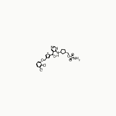 NS(=O)(=O)OC[C@@H]1CC[C@H](Nc2ncncc2C(=O)c2cc(COc3cccc(Cl)c3Cl)cs2)C1